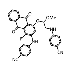 COC(CNc1ccc(C#N)cc1)Oc1cc(Nc2ccc(C#N)cc2)c(F)c2c1C(=O)c1ccccc1C2=O